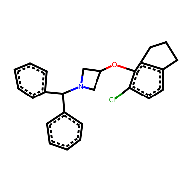 Clc1ccc2c(c1OC1CN(C(c3ccccc3)c3ccccc3)C1)CCC2